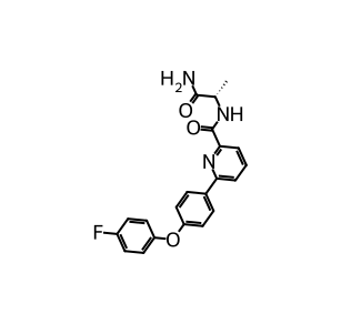 C[C@H](NC(=O)c1cccc(-c2ccc(Oc3ccc(F)cc3)cc2)n1)C(N)=O